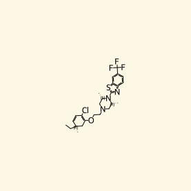 CC[C@@]1(C)C=CC(Cl)=C(OCCN2C[C@@H](C)N(c3nc4ccc(C(F)(F)F)cc4s3)[C@@H](C)C2)C1